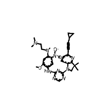 COc1cc(N(C)CCN(C)C)c([N+](=O)[O-])cc1Nc1ncnc(N2CC(C)(C)c3nc(C#CC4CC4)ccc32)n1